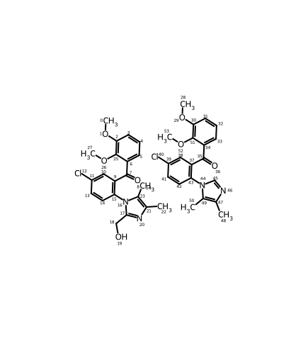 COc1cccc(C(=O)c2cc(Cl)ccc2-n2c(CO)nc(C)c2C)c1OC.COc1cccc(C(=O)c2cc(Cl)ccc2-n2cnc(C)c2C)c1OC